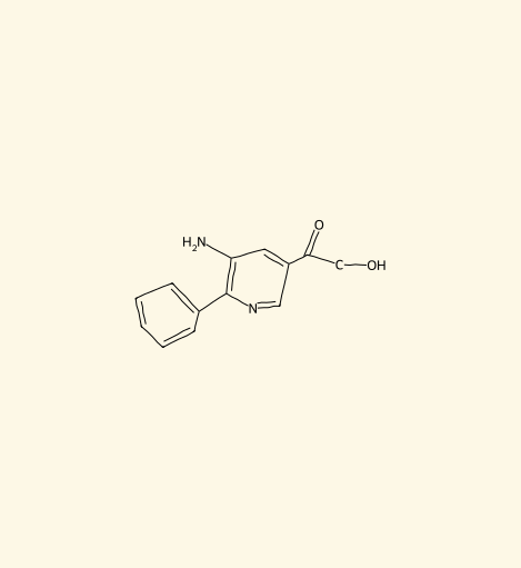 Nc1cc(C(=O)CO)cnc1-c1ccccc1